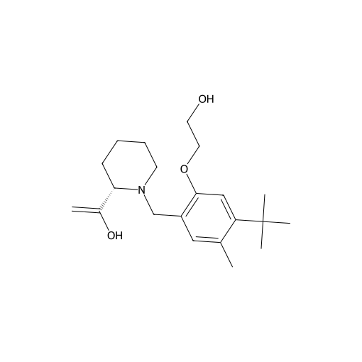 C=C(O)[C@@H]1CCCCN1Cc1cc(C)c(C(C)(C)C)cc1OCCO